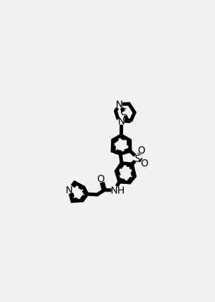 O=C(Cc1ccncc1)Nc1ccc2c(c1)-c1ccc(N3CCN4CCC3CC4)cc1S2(=O)=O